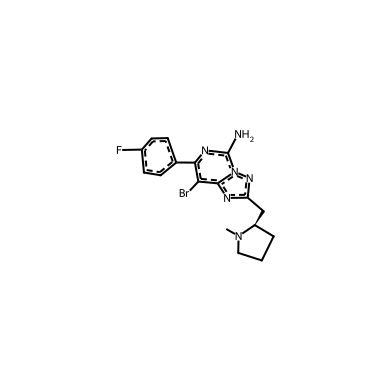 CN1CCC[C@@H]1Cc1nc2c(Br)c(-c3ccc(F)cc3)nc(N)n2n1